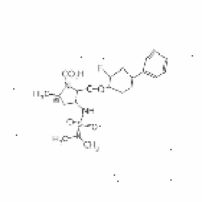 C[C@@H]1CC(NS(=O)(=O)N(C)C)C(COC2CCC(c3ccccc3)CC2F)N1C(=O)O